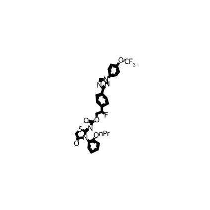 CCCOc1ccccc1N1C(=O)CS/C1=N\C(=O)OCC(F)c1ccc(-c2ncn(-c3ccc(OC(F)(F)F)cc3)n2)cc1